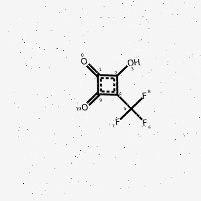 O=c1c(O)c(C(F)(F)F)c1=O